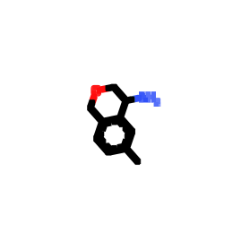 Cc1ccc2c(c1)C(N)COC2